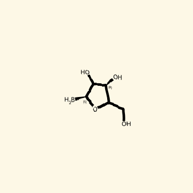 B[C@@H]1OC(CO)[C@H](O)C1O